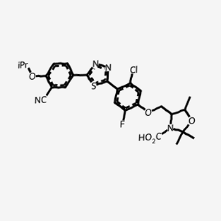 CC(C)Oc1ccc(-c2nnc(-c3cc(F)c(OCC4C(C)OC(C)(C)N4C(=O)O)cc3Cl)s2)cc1C#N